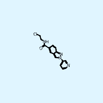 O=C(NCCCl)c1ccc2nn(-c3cccnc3)cc2c1